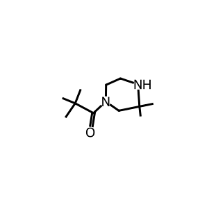 CC1(C)CN(C(=O)C(C)(C)C)CCN1